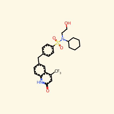 O=c1cc(C(F)(F)F)c2cc(Cc3ccc(S(=O)(=O)N(CCO)C4CCCCC4)cc3)ccc2[nH]1